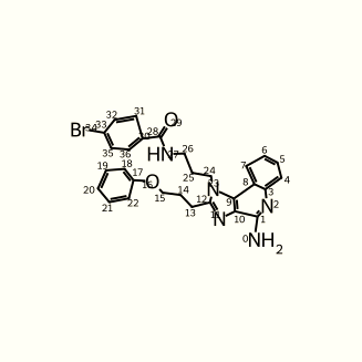 Nc1nc2ccccc2c2c1nc(CCCOc1ccccc1)n2CCCNC(=O)c1ccc(Br)cc1